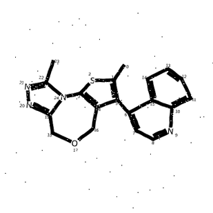 Cc1sc2c(c1-c1ccnc3ccccc13)COCc1nnc(C)n1-2